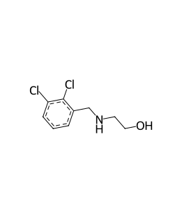 OCCNCc1cccc(Cl)c1Cl